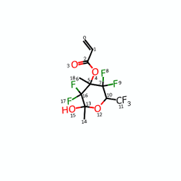 C=CC(=O)OC1(C)C(F)(F)C(C(F)(F)F)OC(C)(O)C1(F)F